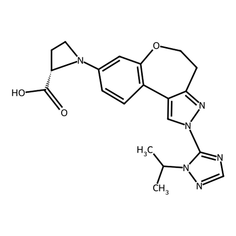 CC(C)n1ncnc1-n1cc2c(n1)CCOc1cc(N3CC[C@H]3C(=O)O)ccc1-2